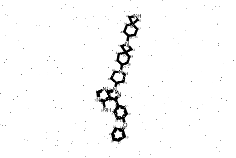 Nc1ncnc2c1c(-c1ccc(Oc3ccccc3)cc1)nn2C1CCN(C2CCC3(CC2)CN(C2CCC4(CC2)CNC4)C3)CC1